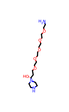 NCCOCCOCCOCCOCCOCC[C@@H](O)N1CCNCC1